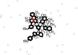 CC(C)(C)c1ccc(-c2ccc3c(c2)C2(C)CCCCC2(C)N3c2cc3c4c(c2)N(c2ccc(C(C)(C)C)cc2-c2ccccc2)c2cc5c(cc2B4c2cc4c(cc2N3c2ccc3c(c2)C(C)(C)CCC3(C)C)C(C)(C)CCC4(C)C)C(C)(C)c2ccccc2C5(C)C)cc1